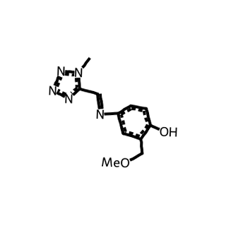 COCc1cc(N=Cc2nnnn2C)ccc1O